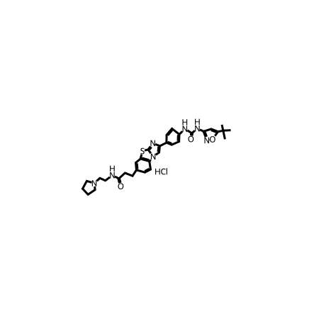 CC(C)(C)c1cc(NC(=O)Nc2ccc(-c3cn4c(n3)sc3cc(CCC(=O)NCCN5CCCC5)ccc34)cc2)no1.Cl